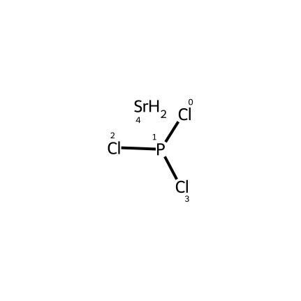 ClP(Cl)Cl.[SrH2]